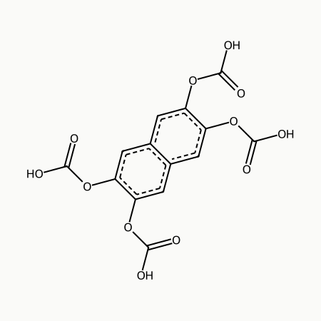 O=C(O)Oc1cc2cc(OC(=O)O)c(OC(=O)O)cc2cc1OC(=O)O